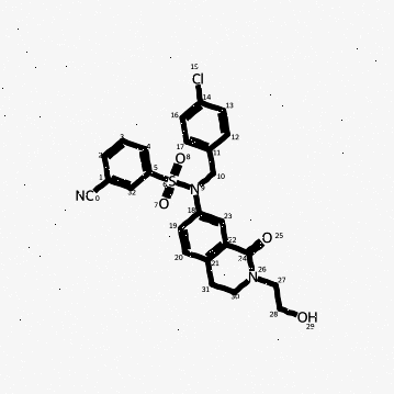 N#Cc1cccc(S(=O)(=O)N(Cc2ccc(Cl)cc2)c2ccc3c(c2)C(=O)N(CCO)CC3)c1